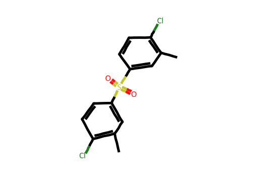 Cc1cc(S(=O)(=O)c2ccc(Cl)c(C)c2)ccc1Cl